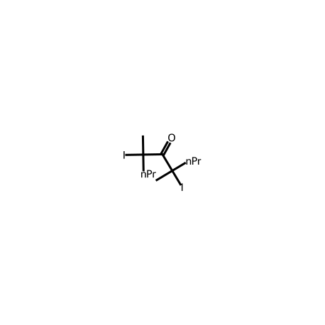 CCCC(C)(I)C(=O)C(C)(I)CCC